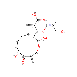 C=C1COC(O)/C(C(O/C=C(/C)C=O)C(=C)C(=O)O)=C\CCCC(O)C1=O